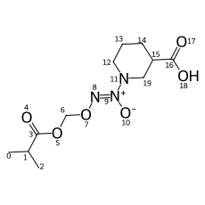 CC(C)C(=O)OCON=[N+]([O-])N1CCCC(C(=O)O)C1